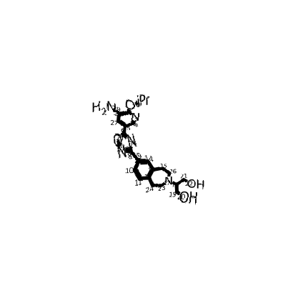 CC(C)Oc1ncc(-c2nc(-c3ccc4c(c3)CCN(C(CO)CO)CC4)no2)cc1N